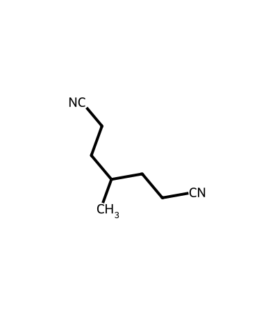 CC(CCC#N)CCC#N